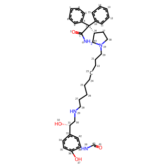 NC(=O)C(c1ccccc1)(c1ccccc1)[C@@H]1CCN(CCCCCCCCCNC[C@@H](O)c2ccc(O)c(NC=O)c2)C1